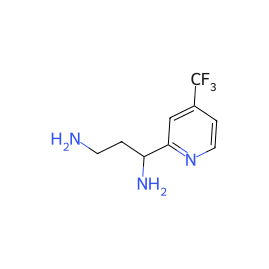 NCCC(N)c1cc(C(F)(F)F)ccn1